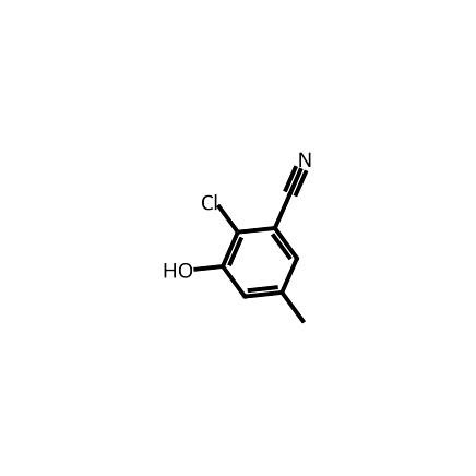 Cc1cc(O)c(Cl)c(C#N)c1